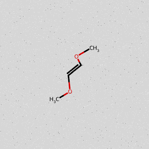 CO/[C]=C/OC